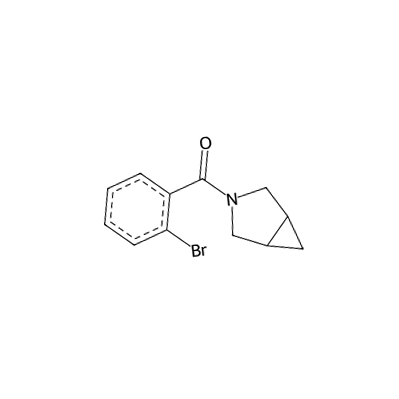 O=C(c1ccccc1Br)N1CC2CC2C1